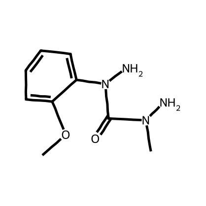 COc1ccccc1N(N)C(=O)N(C)N